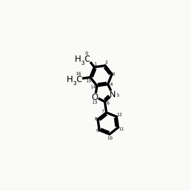 Cc1ccc2nc(-c3ccccc3)oc2c1C